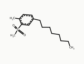 [CH2]c1ccc(CCCCCCCC)cc1S(C)(=O)=O